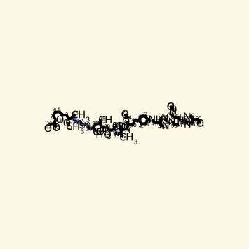 COC(CC1CCCC(C(=O)C=O)O1)/C(C)=C/C=C/C=C/C(C)CC(C)C(=O)CC(O)/C(C)=C/C(C)C(=O)CC(CCC1CCC(NCc2cnc(N3CCN(c4ncc(C=O)cn4)CC3CN=O)nc2)CC1)OC=O